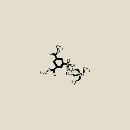 CC[PH](CC)(CC)CC.COC(=O)c1cc(C(=O)OC)cc(S(=O)(=O)O)c1